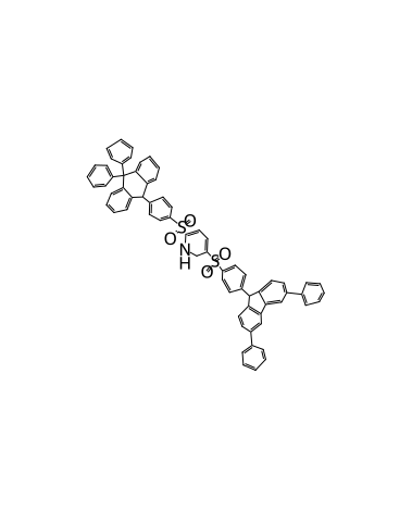 O=S(=O)(C1=CC=C(S(=O)(=O)c2ccc(C3c4ccccc4C(c4ccccc4)(c4ccccc4)c4ccccc43)cc2)NC1)c1ccc(C2c3ccc(-c4ccccc4)cc3-c3cc(-c4ccccc4)ccc32)cc1